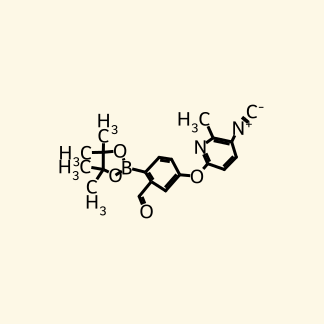 [C-]#[N+]c1ccc(Oc2ccc(B3OC(C)(C)C(C)(C)O3)c(C=O)c2)nc1C